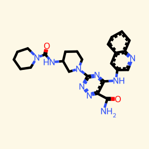 NC(=O)c1nnc(N2CCCC(NC(=O)N3CCCCC3)C2)nc1Nc1cnc2ccccc2c1